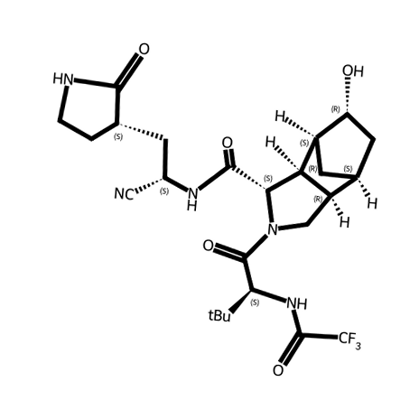 CC(C)(C)[C@H](NC(=O)C(F)(F)F)C(=O)N1C[C@@H]2[C@H]3C[C@@H]([C@@H]2[C@H]1C(=O)N[C@H](C#N)C[C@@H]1CCNC1=O)[C@H](O)C3